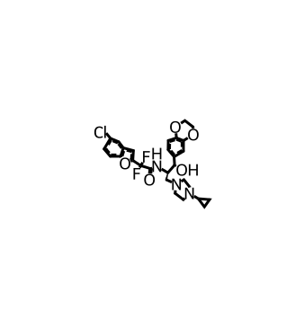 O=C(N[C@H](CN1CCN(C2CC2)CC1)[C@H](O)c1ccc2c(c1)OCCO2)C(F)(F)c1cc2cc(Cl)ccc2o1